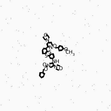 COc1ccc(COc2cc(N3CCOCC3)cc(-c3cccc4c3Sc3ccc(N[C@@H]5CN(C(=O)OCc6ccccc6)C[C@H]5N5CCOCC5)cc3S4)n2)cc1